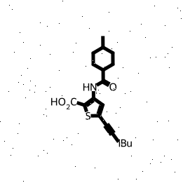 CCC(C)C#Cc1cc(NC(=O)C2CCC(C)CC2)c(C(=O)O)s1